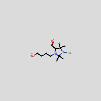 CC1(C)C(C=O)N(CCCCO)C(C)(C)N1Cl